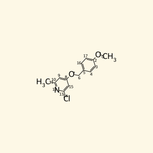 COc1ccc(COc2cc(C)nc(Cl)c2)cc1